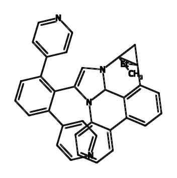 CCC12CC1(C)N1C=C(c3c(-c4ccncc4)cccc3-c3ccncc3)N3c4ccccc4-c4cccc2c4C31